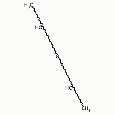 CCCCCCCCCCCCCCC(O)CCCCCCCCCCCCCCCCCCCOCCCCCCCCCCCCCCCCCCCC(O)CCCCCCCCCCCCCC